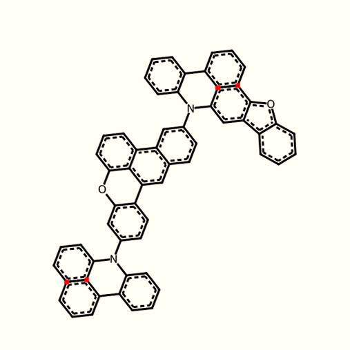 c1ccc(-c2ccccc2N(c2ccccc2)c2ccc3c(c2)Oc2cccc4c2c-3cc2ccc(N(c3ccc5oc6ccccc6c5c3)c3ccccc3-c3ccccc3)cc24)cc1